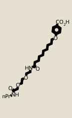 CCCNC(=O)COCCOCCNC(=O)CCCCCCCCCOc1ccc(C(=O)O)cc1